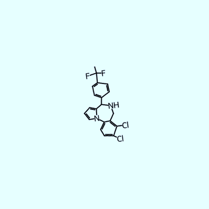 CC(F)(F)c1ccc(C2NCc3c(ccc(Cl)c3Cl)-n3cccc32)cc1